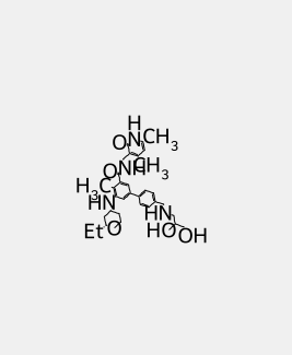 CC[C@@H]1CC(Nc2cc(-c3ccc(CNCC(O)CO)cc3)cc(C(=O)NCc3c(C)cc(C)[nH]c3=O)c2C)CCO1